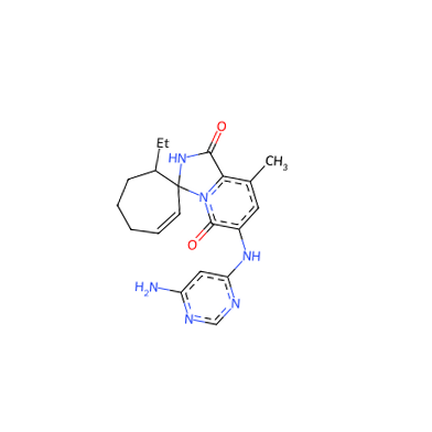 CCC1CCCC=CC12NC(=O)c1c(C)cc(Nc3cc(N)ncn3)c(=O)n12